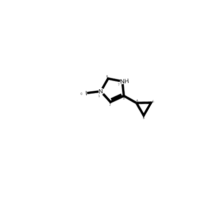 IN1C=C(C2CC2)NC1